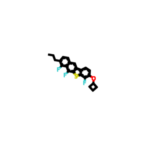 CCCc1ccc2cc3c(sc4c(F)c(OC5CCC5)ccc43)c(F)c2c1F